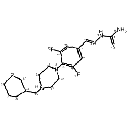 NC(=S)NN=Cc1cc(F)c(N2CCN(CC3CCCCC3)CC2)c(F)c1